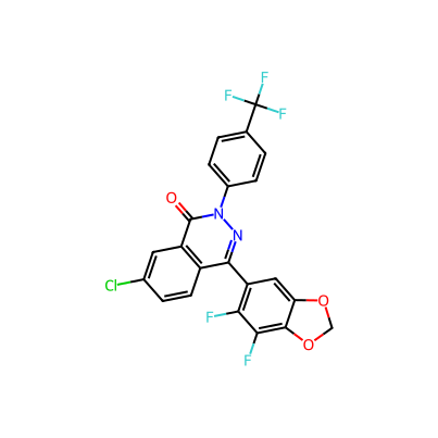 O=c1c2cc(Cl)ccc2c(-c2cc3c(c(F)c2F)OCO3)nn1-c1ccc(C(F)(F)F)cc1